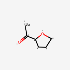 CC(C)(C)C(=O)C1CCCO1